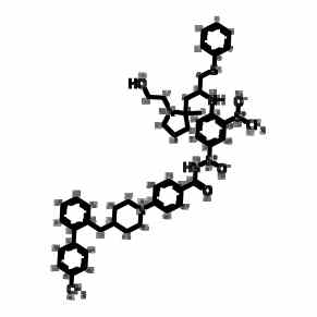 CC1(CC(CSc2ccccc2)Nc2ccc([S+]([O-])NC(=O)c3ccc(N4CCC(Cc5ccccc5-c5ccc(C(F)(F)F)cc5)CC4)cc3)cc2[S+]([O-])C(F)(F)F)CCCN1CCO